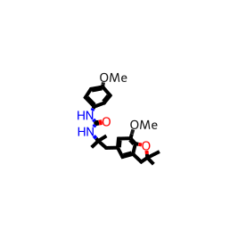 COc1ccc(NC(=O)NC(C)(C)Cc2cc3c(c(OC)c2)OC(C)(C)C3)cc1